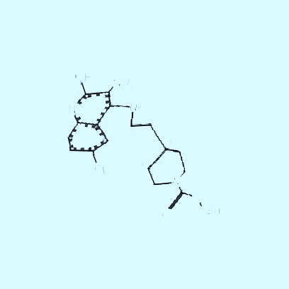 Cc1ccc2nc(C(F)(F)F)c(N)c(NCCC3CCN(C(=O)OC(C)(C)C)CC3)c2c1